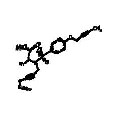 CC#CCOc1ccc(S(=O)(=O)N(CC#CCNC)C(C(=O)OC)C(C)C)cc1